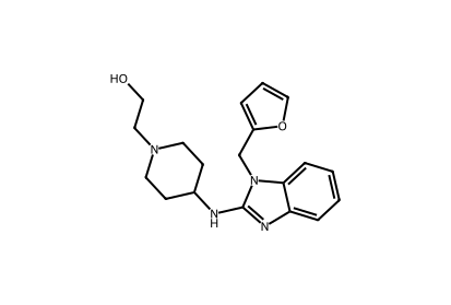 OCCN1CCC(Nc2nc3ccccc3n2Cc2ccco2)CC1